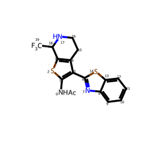 CC(=O)Nc1sc2c(c1-c1nc3ccccc3s1)CCNC2C(F)(F)F